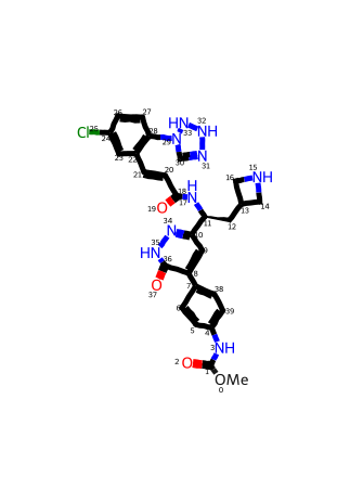 COC(=O)Nc1ccc(-c2cc([C@H](CC3CNC3)NC(=O)/C=C/c3cc(Cl)ccc3N3C=NNN3)n[nH]c2=O)cc1